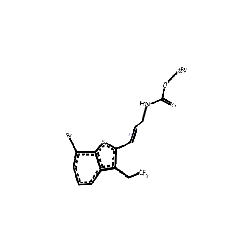 CC(C)(C)OC(=O)NC/C=C/c1sc2c(Br)cccc2c1CC(F)(F)F